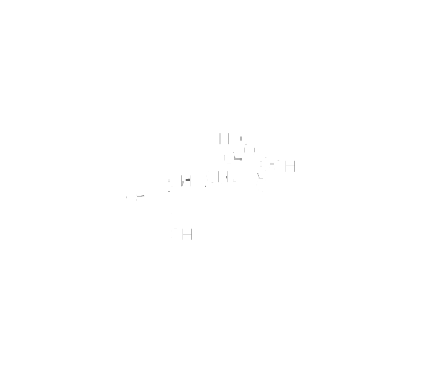 CCC1CC2C3CCC(CCC(C(=O)OC)C(=O)OC)C3(C)CCC2C2(C)CCC(=O)CC12